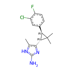 Cc1[nH]c(N)nc1[C@@H]1[C@@H](c2ccc(F)c(Cl)c2)C1(C)C